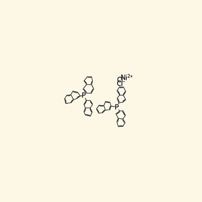 [Cl-].[Cl-].[Ni+2].c1ccc2cc(P(c3ccc4ccccc4c3)c3ccc4ccccc4c3)ccc2c1.c1ccc2cc(P(c3ccc4ccccc4c3)c3ccc4ccccc4c3)ccc2c1